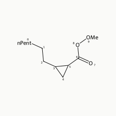 CCCCCCCC1CC1C(=O)OOC